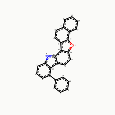 c1ccc(-c2cccc3[nH]c4c(ccc5oc6c7ccccc7ccc6c54)c23)cc1